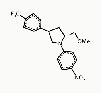 COC[C@H]1CC(c2ccc(C(F)(F)F)cc2)CN1c1ccc([N+](=O)[O-])cc1